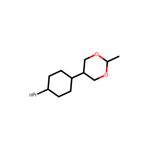 CCCC1CCC(C2COC(C)OC2)CC1